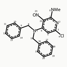 CNc1nc(Cl)cc(N(Cc2ccccc2)Cc2ccccc2)c1N=O